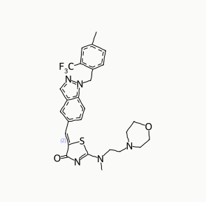 Cc1ccc(Cn2ncc3cc(/C=C4\SC(N(C)CCN5CCOCC5)=NC4=O)ccc32)c(C(F)(F)F)c1